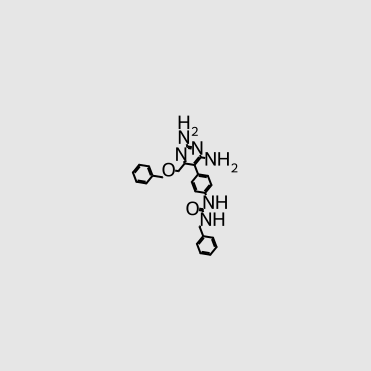 Nc1nc(N)c(-c2ccc(NC(=O)NCc3ccccc3)cc2)c(COCc2ccccc2)n1